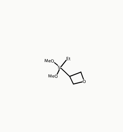 CC[Si](OC)(OC)C1COC1